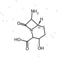 NC1C(=O)N2C(C(=O)O)C(O)CS[C@@H]12